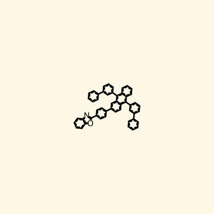 c1ccc(-c2cccc(-c3c4ccccc4c(-c4cccc(-c5ccccc5)c4)c4cc(-c5ccc(-c6nc7ccccc7o6)cc5)ccc34)c2)cc1